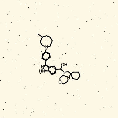 CC1CCCCN(c2ccc(-c3n[nH]c4ccc(C(O)NCC5(N6CCOCC6)CCCCC5)cc34)cc2)CC1